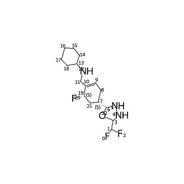 FC(F)C1NNC([C@H]2CC=C(CNC3CCCCC3)[C@@H](F)C2)O1